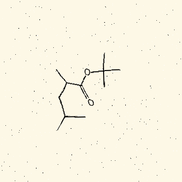 CC(C)CC(C)C(=O)OC(C)(C)C